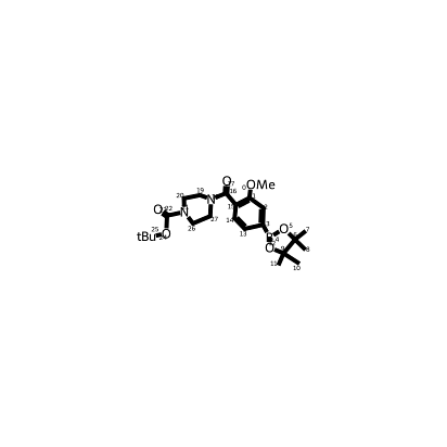 COc1cc(B2OC(C)(C)C(C)(C)O2)ccc1C(=O)N1CCN(C(=O)OC(C)(C)C)CC1